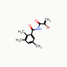 C=C(Br)C(=O)NC(=O)c1cc(C)cc(C)c1C